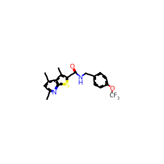 Cc1cc(C)c2c(C)c(C(=O)NCc3ccc(OC(F)(F)F)cc3)sc2n1